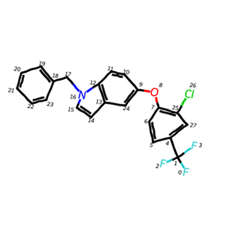 FC(F)(F)c1ccc(Oc2ccc3c(ccn3Cc3ccccc3)c2)c(Cl)c1